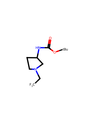 CC(C)(C)OC(=O)NC1CCN(CC(F)(F)F)C1